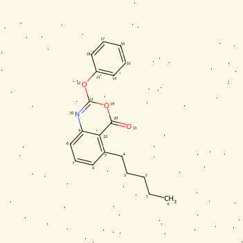 CCCCCc1cccc2nc(Oc3ccccc3)oc(=O)c12